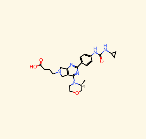 C[C@H]1COCCN1c1nc(-c2ccc(NC(=O)NC3CC3)cc2)nc2c1CN(CCCC(=O)O)C2